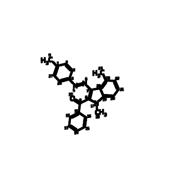 Cc1ccc(/N=N/c2c(C(=O)c3ccccc3)n(C)c3cccc(C)c23)cc1